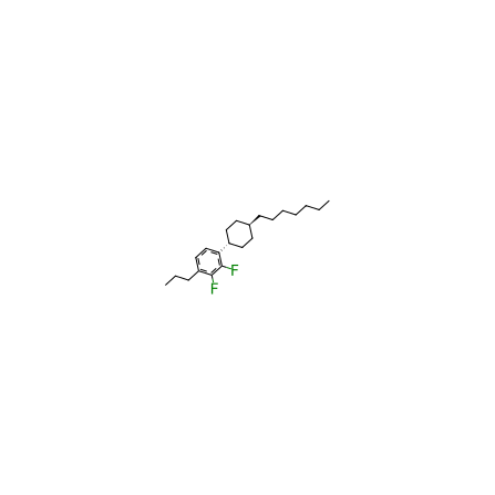 CCCCCCC[C@H]1CC[C@H](c2ccc(CCC)c(F)c2F)CC1